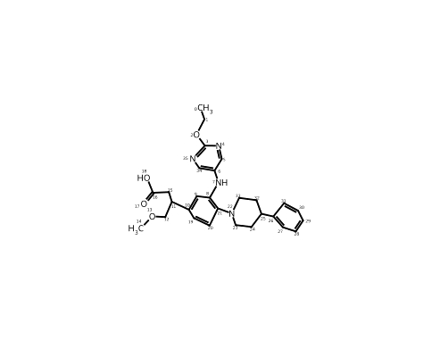 CCOc1ncc(Nc2cc(C(COC)CC(=O)O)ccc2N2CCC(c3ccccc3)CC2)cn1